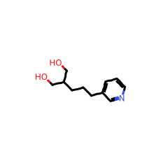 OCC(CO)CCCc1cccnc1